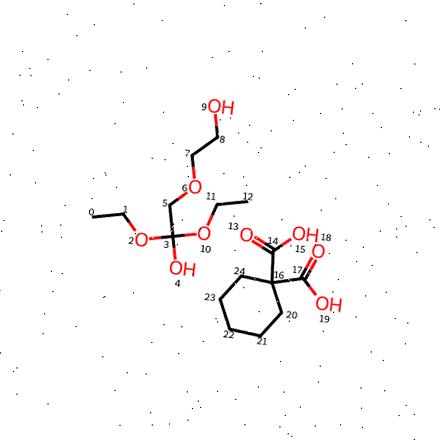 CCOC(O)(COCCO)OCC.O=C(O)C1(C(=O)O)CCCCC1